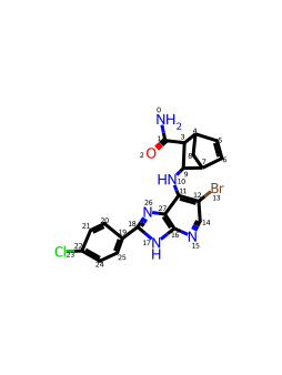 NC(=O)C1C2C=CC(C2)C1Nc1c(Br)cnc2[nH]c(-c3ccc(Cl)cc3)nc12